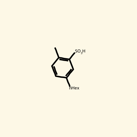 CCCCCCc1ccc(C)c(S(=O)(=O)O)c1